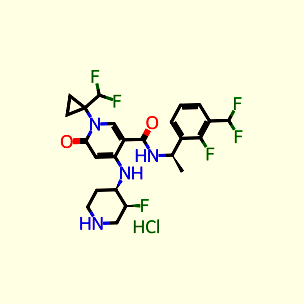 C[C@@H](NC(=O)c1cn(C2(C(F)F)CC2)c(=O)cc1N[C@@H]1CCNC[C@@H]1F)c1cccc(C(F)F)c1F.Cl